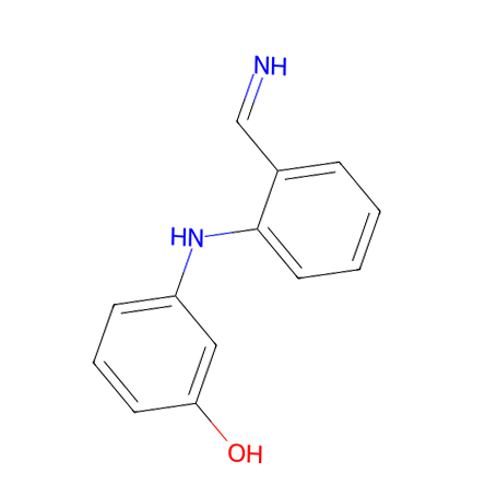 N=Cc1ccccc1Nc1cccc(O)c1